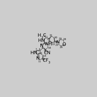 CC(NC1=NC(c2c[nH]c3ncc(C(F)(F)F)cc23)=C(C#N)CN1)c1ccc(N2CCOCC2)cc1